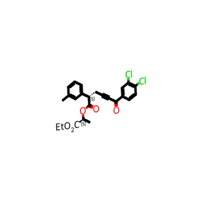 CCOC(=O)[C@H](C)OC(=O)[C@@H](CC#CC(=O)c1ccc(Cl)c(Cl)c1)c1cccc(C)c1